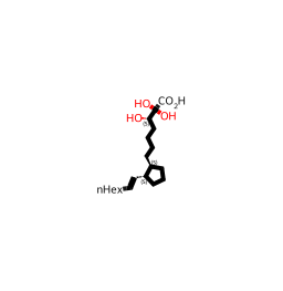 CCCCCCC=C[C@H]1CCC[C@@H]1CCCC[C@H](O)C(O)(O)C(=O)O